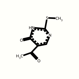 CSc1ncc(C(C)=O)c(=O)[nH]1